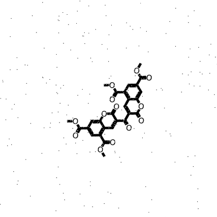 COC(=O)c1cc(C(=O)OC)c2cc(C(=O)c3cc4c(C(=O)OC)cc(C(=O)OC)cc4oc3=O)c(=O)oc2c1